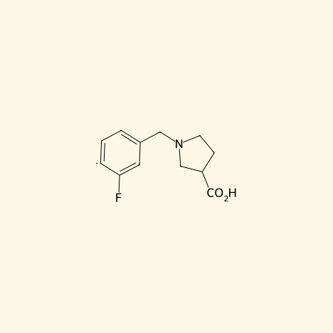 O=C(O)C1CCN(Cc2cc[c]c(F)c2)C1